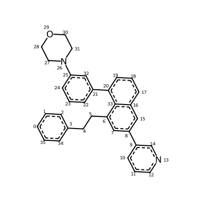 c1ccc(CCc2cc(-c3cccnc3)cc3cccc(-c4cccc(N5CCOCC5)c4)c23)cc1